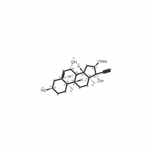 C#C[C@]1(O)[C@H](OC)C[C@H]2[C@@H]3[C@@H](O)C=C4C[C@H](O)CC[C@]4(C)[C@H]3CC[C@@]21C